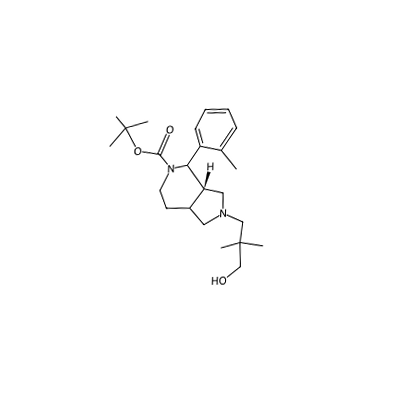 Cc1ccccc1C1[C@@H]2CN(CC(C)(C)CO)CC2CCN1C(=O)OC(C)(C)C